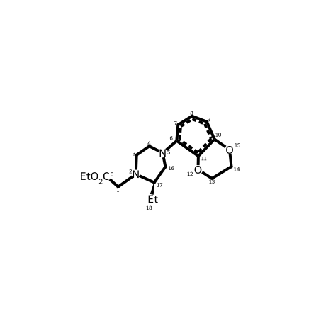 CCOC(=O)CN1CCN(c2cccc3c2OCCO3)C[C@H]1CC